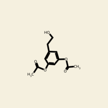 CC(=O)Oc1cc(CCO)cc(OC(C)=O)c1